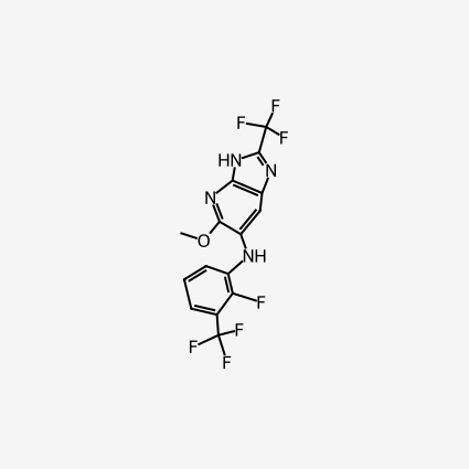 COc1nc2[nH]c(C(F)(F)F)nc2cc1Nc1cccc(C(F)(F)F)c1F